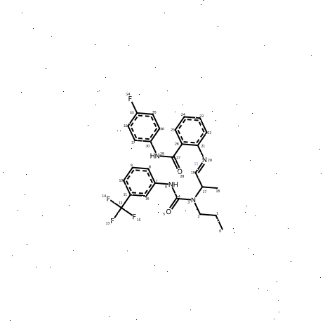 CCCN(C(=O)Nc1cccc(C(F)(F)F)c1)C(C)/C=N/c1ccccc1C(=O)Nc1ccc(F)cc1